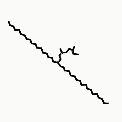 CCCCCCCCCCCCCCCCCCN(CCCCCCCCCCCCCCCCCC)CCN(C)CCN(C)CC